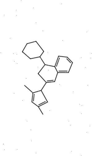 CC1=CC(C2=Cc3ccccc3C(C3CCCCC3)C2)C(C)=C1